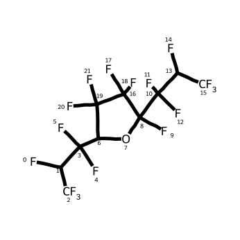 FC(C(F)(F)F)C(F)(F)C1OC(F)(C(F)(F)C(F)C(F)(F)F)C(F)(F)C1(F)F